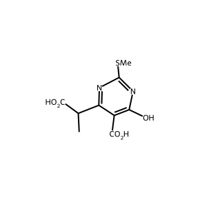 CSc1nc(O)c(C(=O)O)c(C(C)C(=O)O)n1